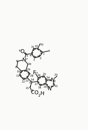 Cc1ccc(C(=O)N2CCc3ccc([C@H](CC(=O)O)c4cc5ncn(C)c5cc4F)cc3C2)cc1C